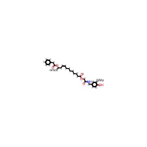 CCCCCCC(C/C=C\CCCCCCCC(=O)OCC(=O)NCc1ccc(O)c(OC)c1)OC(=O)Cc1ccccc1